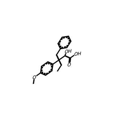 CCC(Cc1ccccc1)(c1ccc(OC)cc1)C(O)C(=O)O